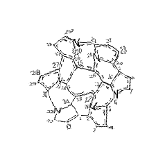 C1=C2c3ccc4n5ccc6c5c5c(c7c8c9c%10c(ccn%10c%10ccc6n%10c95)c5ccc(n58)N(C1)C27)n34